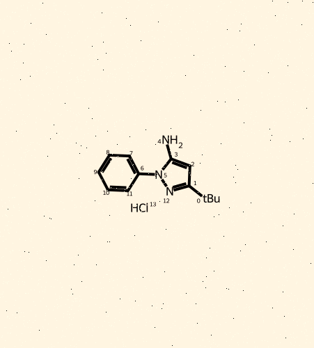 CC(C)(C)c1cc(N)n(-c2ccccc2)n1.Cl